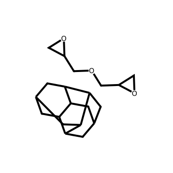 C(OCC1CO1)C1CO1.C1C2CC3C4CC5CC(C14)C(C2)C3C5